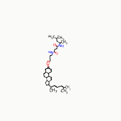 CC(C)CCCC(C)C1CCC2C1CCC1C3CC[C@H](OCCCNC(=O)CCC(=O)NC(C)CC(C)C)CC3=CCC12